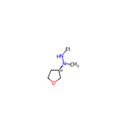 CCNN(C)[C@@H]1CCOC1